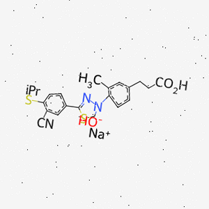 Cc1cc(CCC(=O)O)ccc1N1CSC(c2ccc(SC(C)C)c(C#N)c2)=N1.[Na+].[OH-]